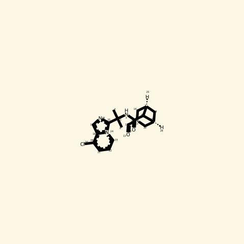 CC(C)(NC(=O)C1[C@@H]2C[C@H]1CN(C=O)C2)c1ncc2c(Cl)cccn12